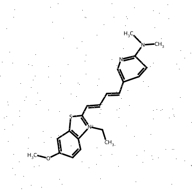 CC[n+]1c(/C=C/C=C/c2ccc(N(C)C)nc2)sc2cc(OC)ccc21